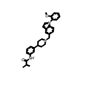 COc1ccccc1-n1ccc2cc(CN3CCC(c4cccc(NC(=O)C(C)C)c4)CC3)ccc21